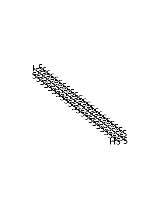 S=S(=S)(S)S(=S)(=S)S(=S)(=S)S(=S)(=S)S(=S)(=S)S(=S)(=S)S(=S)(=S)S(=S)(=S)S(=S)(=S)S(=S)(=S)S(=S)(=S)S(=S)(=S)S(=S)(=S)S(=S)(=S)S(=S)(=S)S(=S)(=S)S(=S)(=S)S(=S)(=S)S(=S)(=S)S(=S)(=S)S(=S)(=S)S(=S)(=S)I